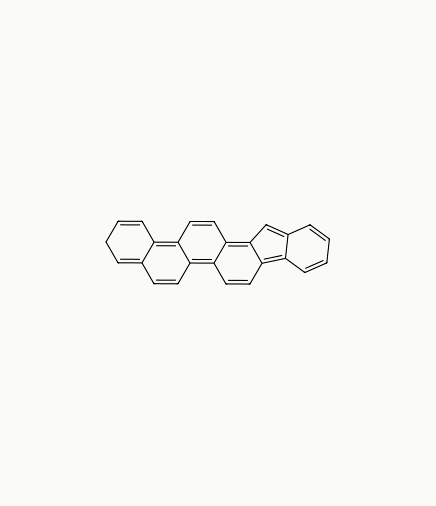 C1=Cc2c(ccc3c2ccc2c4c(ccc23)=c2ccccc2=C4)=CC1